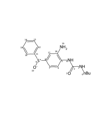 CCCCNC(=O)Nc1ccc([S+]([O-])c2ccccc2)cc1N